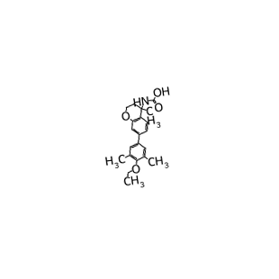 CCOc1c(C)cc(-c2ccc3c(c2)OCCC3(C)NC(=O)O)cc1C